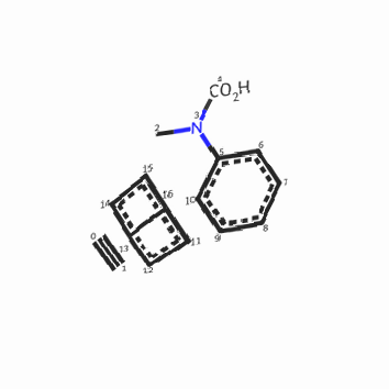 C#C.CN(C(=O)O)c1ccccc1.c1cc2ccc1-2